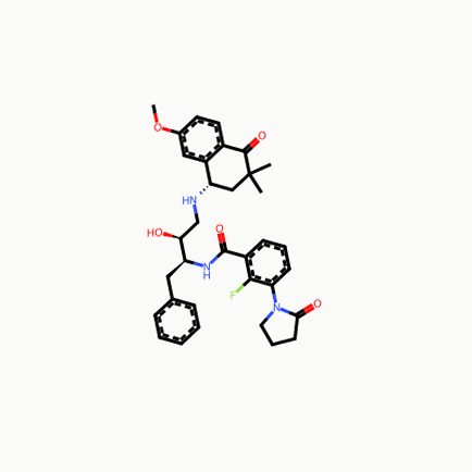 COc1ccc2c(c1)[C@@H](NC[C@H](O)[C@H](Cc1ccccc1)NC(=O)c1cccc(N3CCCC3=O)c1F)CC(C)(C)C2=O